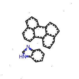 c1cc2cccc3c4cccc5cccc(c(c1)c23)c54.c1ccc2[nH]cnc2c1